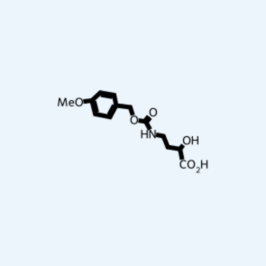 COc1ccc(COC(=O)NCCC(O)C(=O)O)cc1